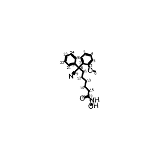 COc1ccccc1C(C#N)(CCCCCC(=O)NO)c1ccccc1